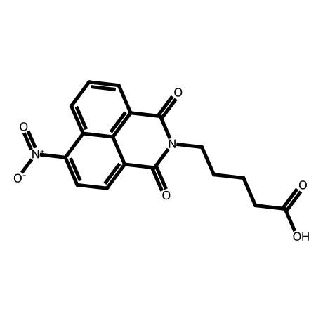 O=C(O)CCCCN1C(=O)c2cccc3c([N+](=O)[O-])ccc(c23)C1=O